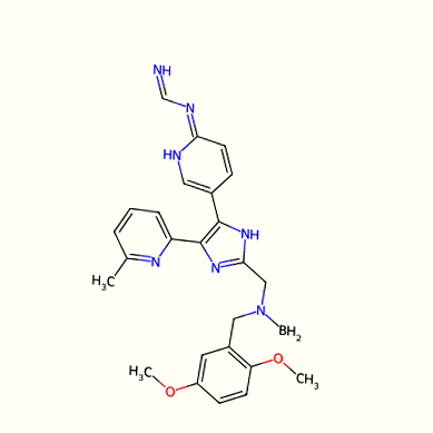 BN(Cc1nc(-c2cccc(C)n2)c(-c2cc/c(=N/C=N)[nH]c2)[nH]1)Cc1cc(OC)ccc1OC